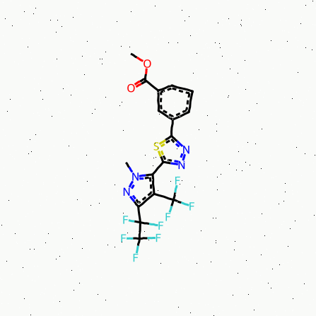 COC(=O)c1cccc(-c2nnc(-c3c(C(F)(F)F)c(C(F)(F)C(F)(F)F)nn3C)s2)c1